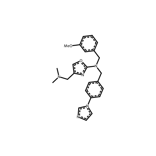 COc1cccc(CN(Cc2ccc(-n3ccnc3)cc2)c2nc(CN(C)C)co2)c1